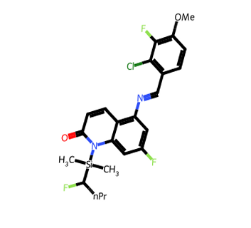 CCCC(F)[Si](C)(C)n1c(=O)ccc2c(N=Cc3ccc(OC)c(F)c3Cl)cc(F)cc21